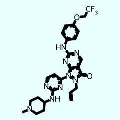 C=CCn1c(=O)c2cnc(Nc3ccc(OCC(F)(F)F)cc3)nc2n1-c1ccnc(NC2CCN(C)CC2)n1